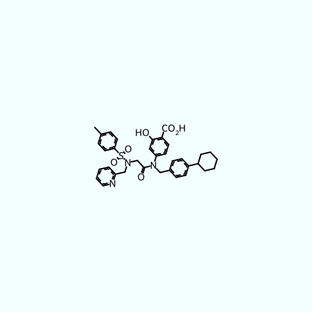 Cc1ccc(S(=O)(=O)N(CC(=O)N(Cc2ccc(C3CCCCC3)cc2)c2ccc(C(=O)O)c(O)c2)Cc2ccccn2)cc1